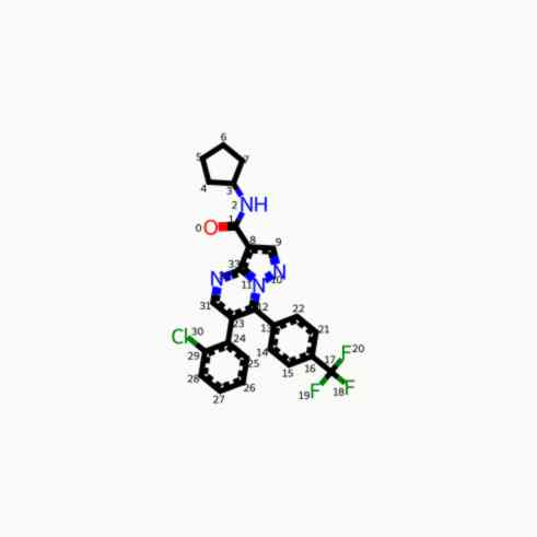 O=C(NC1CCCC1)c1cnn2c(-c3ccc(C(F)(F)F)cc3)c(-c3ccccc3Cl)cnc12